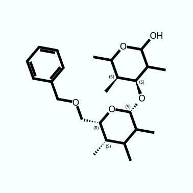 CC1C(C)[C@H](C)[C@H](COCc2ccccc2)O[C@@H]1O[C@@H]1C(C)C(O)OC(C)[C@@H]1C